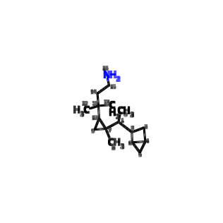 CC(C1CC2CC21)C1(C)CC1C(C)(C)CCN